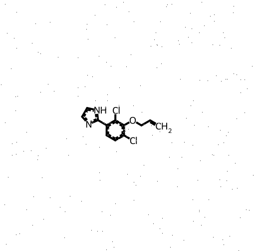 C=CCOc1c(Cl)ccc(-c2ncc[nH]2)c1Cl